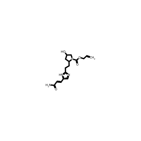 C=CCOC(=O)N1CC(O)CC1CCc1ncc(C=CC(N)=O)[nH]1